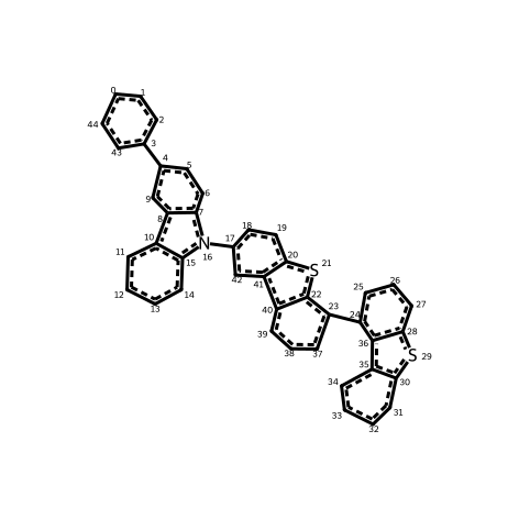 c1ccc(-c2ccc3c(c2)c2ccccc2n3-c2ccc3sc4c(-c5cccc6sc7ccccc7c56)cccc4c3c2)cc1